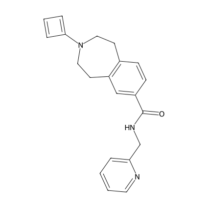 O=C(NCc1ccccn1)c1ccc2c(c1)CCN(C1=CC=C1)CC2